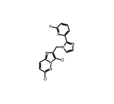 Fc1cccc(-c2nccn2Cc2nc3ccc(Cl)nn3c2Cl)n1